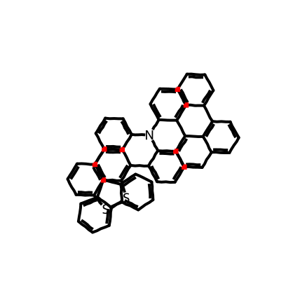 c1ccc(-c2cccc3cccc(-c4ccccc4N(c4cccc(-c5cccc6sc7ccccc7c56)c4)c4ccccc4-c4cccc5c4sc4ccccc45)c23)cc1